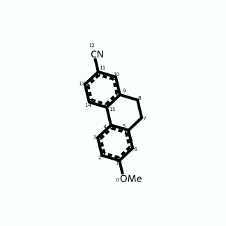 COc1ccc2c(c1)CCc1cc(C#N)ccc1-2